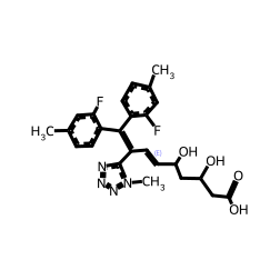 Cc1ccc(C(=C(/C=C/C(O)CC(O)CC(=O)O)c2nnnn2C)c2ccc(C)cc2F)c(F)c1